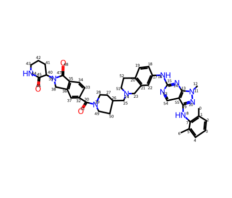 Cc1cccc(C)c1Nc1nn(C)c2nc(Nc3ccc4c(c3)CN(CC3CCN(C(=O)c5ccc6c(c5)CN(C5CCCNC5=O)C6=O)CC3)CC4)ncc12